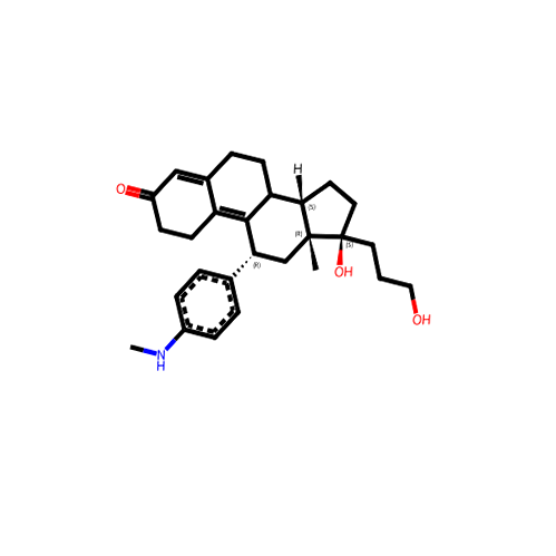 CNc1ccc([C@H]2C[C@]3(C)[C@@H](CC[C@]3(O)CCCO)C3CCC4=CC(=O)CCC4=C32)cc1